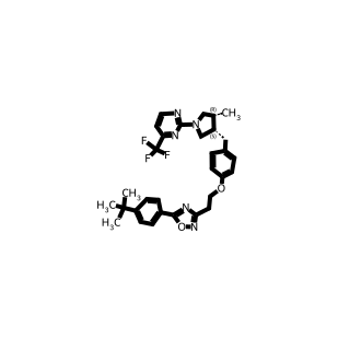 C[C@H]1CN(c2nccc(C(F)(F)F)n2)C[C@H]1Cc1ccc(OCCc2noc(-c3ccc(C(C)(C)C)cc3)n2)cc1